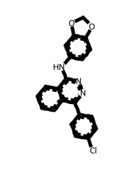 Clc1ccc(-c2nnc(Nc3ccc4c(c3)OCO4)c3ccccc23)cc1